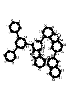 c1ccc(-c2cc(-c3ccccc3)cc(-c3nc(-c4cccc5oc6ccc(-c7ccc8ccccc8c7)cc6c45)nc4c3sc3ccccc34)c2)cc1